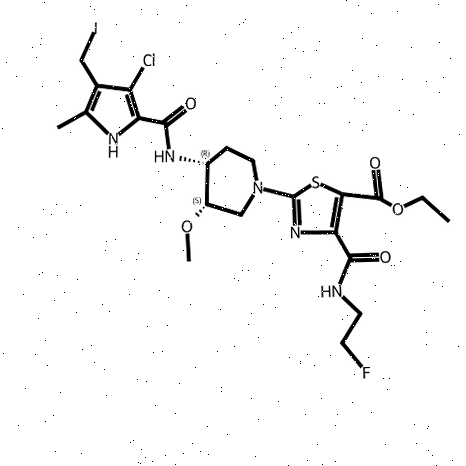 CCOC(=O)c1sc(N2CC[C@@H](NC(=O)c3[nH]c(C)c(CI)c3Cl)[C@@H](OC)C2)nc1C(=O)NCCF